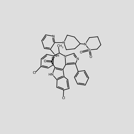 CC(c1ccc(Cl)cc1)n1cnc(-c2ccccc2)c1-c1c(C(=O)Nc2cccnc2N2CCC(N3CCCCS3(=O)=O)CC2)[nH]c2cc(Cl)ccc12